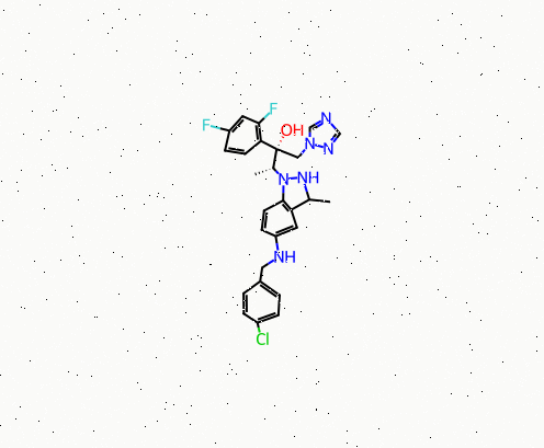 CC1NN([C@H](C)[C@](O)(Cn2cncn2)c2ccc(F)cc2F)c2ccc(NCc3ccc(Cl)cc3)cc21